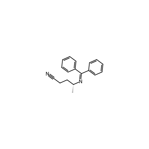 C[C@H](CCC#N)N=C(c1ccccc1)c1ccccc1